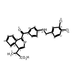 CC(C(=O)O)c1cnc(C(=O)c2ccc(NCc3ccc(Cl)c(Cl)c3)cc2)c2ccccc12